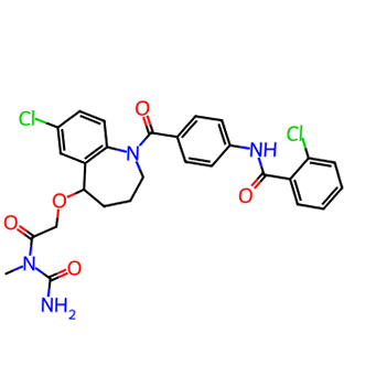 CN(C(N)=O)C(=O)COC1CCCN(C(=O)c2ccc(NC(=O)c3ccccc3Cl)cc2)c2ccc(Cl)cc21